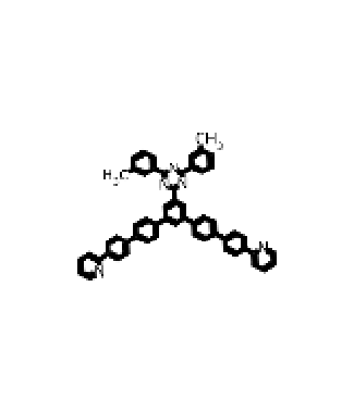 Cc1cccc(-c2nc(-c3cccc(C)c3)nc(-c3cc(-c4ccc(-c5ccc(-c6ccccn6)cc5)cc4)cc(-c4ccc(-c5ccc(-c6ccccn6)cc5)cc4)c3)n2)c1